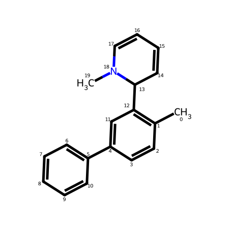 Cc1ccc(-c2ccccc2)cc1C1C=CC=CN1C